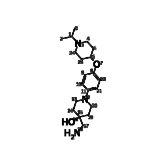 CC(C)N1CCC(Oc2ccc(N3CCC(O)(CN)CC3)cc2)CC1